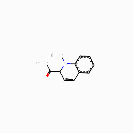 CC(C)COC(=O)C1C=Cc2ccccc2N1OCC(C)C